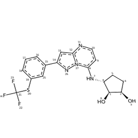 O[C@@H]1[C@H](O)[CH]C[C@H]1Nc1ccnc2cc(-c3cccc(SC(F)(F)F)c3)nn12